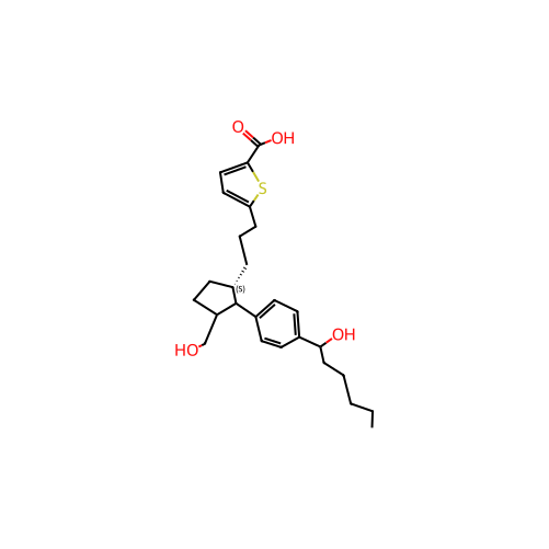 CCCCCC(O)c1ccc(C2C(CO)CC[C@@H]2CCCc2ccc(C(=O)O)s2)cc1